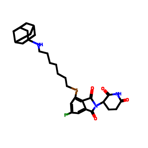 O=C1CCC(N2C(=O)c3cc(F)cc(SCCCCCCCNC45CC6CC(CC(C6)C4)C5)c3C2=O)C(=O)N1